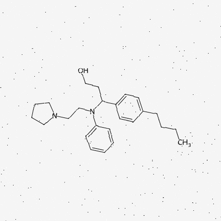 CCCCc1ccc(C(CCO)N(CCN2CCCC2)c2ccccc2)cc1